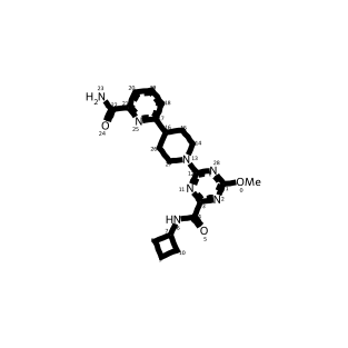 COc1nc(C(=O)NC2CCC2)nc(N2CCC(c3cccc(C(N)=O)n3)CC2)n1